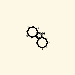 C1CCCc2c([nH]c3c2CCCCCC3)CC1